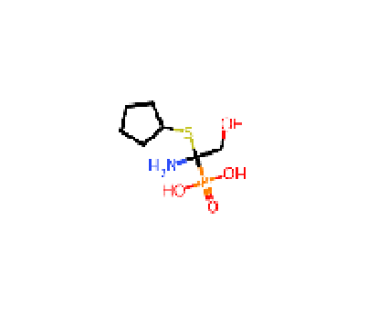 NC(CO)(SC1CCCC1)P(=O)(O)O